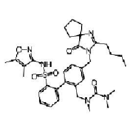 CCCCC1=NC2(CCCC2)C(=O)N1Cc1ccc(-c2ccccc2S(=O)(=O)Nc2noc(C)c2C)c(CN(C)C(=O)N(C)C)c1